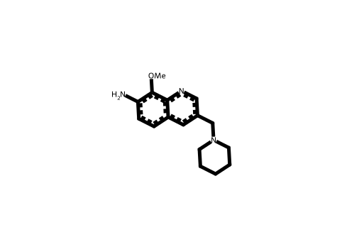 COc1c(N)ccc2cc(CN3CCCCC3)cnc12